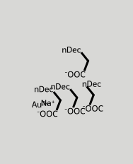 CCCCCCCCCCCC(=O)[O-].CCCCCCCCCCCC(=O)[O-].CCCCCCCCCCCC(=O)[O-].CCCCCCCCCCCC(=O)[O-].[Au+3].[Na+]